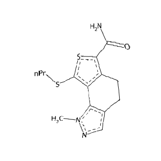 CCCSc1sc(C(N)=O)c2c1-c1c(cnn1C)CC2